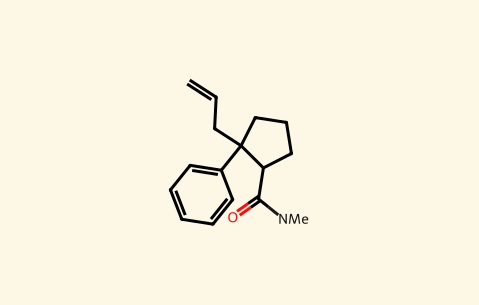 C=CCC1(c2ccccc2)CCCC1C(=O)NC